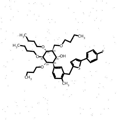 CCCCOC[C@H]1[C@H](O)[C@@H](c2ccc(C)c(Cc3ccc(-c4ccc(F)cc4)s3)c2)[C@H](OCCCC)[C@@H](OCCCC)[C@@H]1OCCCC